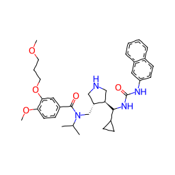 COCCCOc1cc(C(=O)N(C[C@@H]2CNC[C@H]2C(NC(=O)Nc2ccc3ccccc3c2)C2CC2)C(C)C)ccc1OC